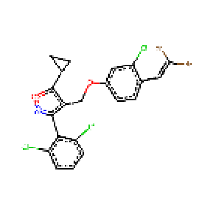 Clc1cc(OCc2c(-c3c(Cl)cccc3Cl)noc2C2CC2)ccc1C=C(Br)Br